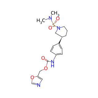 CN(C)S(=O)(=O)N1CCC[C@@H](c2ccc(NC(=O)OCc3cnco3)cc2)C1